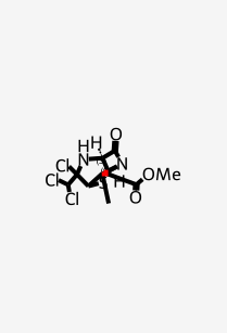 COC(=O)C1=C(C)C2S[C@H]3[C@@H](NC2(Cl)C(Cl)Cl)C(=O)N13